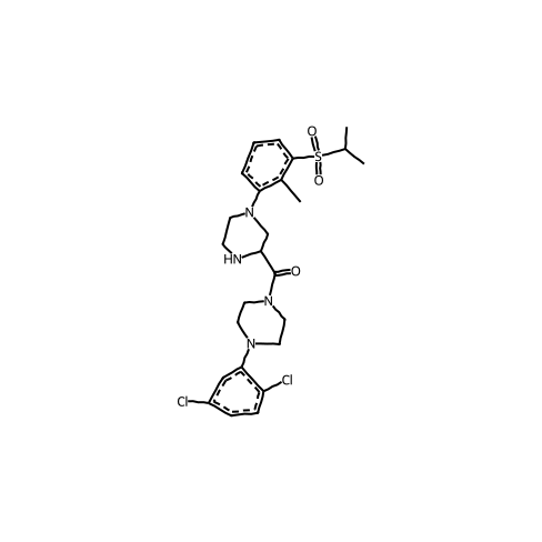 Cc1c(N2CCNC(C(=O)N3CCN(c4cc(Cl)ccc4Cl)CC3)C2)cccc1S(=O)(=O)C(C)C